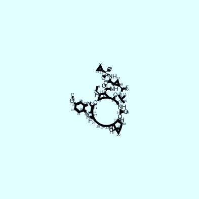 CC[C@@H]1[C@@H]2CC(C(=O)[C@H](C(C)(C)C)NC(=O)O[C@@H]3CC4C[C@@H]4[C@H]3CCCCC(F)(F)c3nc4ccc(OC)cc4nc3O2)[C@@H]1C(=O)N[C@]1(C(=O)NS(=O)(=O)C2CC2)C[C@H]1C(F)F